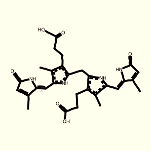 CC1=CC(=O)N/C1=C\c1[nH]c(Cc2[nH]c(/C=C3\NC(=O)C=C3C)c(C)c2CCC(=O)O)c(CCC(=O)O)c1C